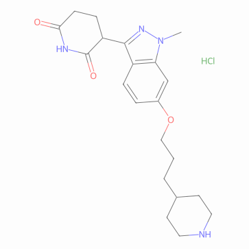 Cl.Cn1nc(C2CCC(=O)NC2=O)c2ccc(OCCCC3CCNCC3)cc21